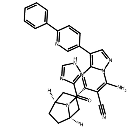 N#Cc1c([C@@H]2C[C@H]3CC[C@@H](C2)N3C(=O)c2nc[nH]n2)nc2c(-c3ccc(-c4ccccc4)nc3)cnn2c1N